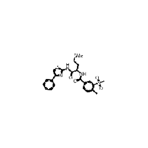 CSCCC(NC(=O)c1ccc(C)c(S(C)(=O)=O)c1)C(=O)Nc1nc(-c2ccccc2)cs1